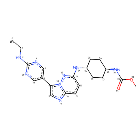 CC(C)CNc1ncc(-c2cnc3ccc(N[C@H]4CC[C@H](NC(=O)OC(C)(C)C)CC4)nn23)cn1